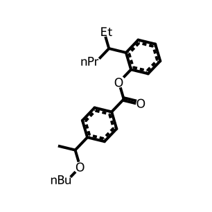 CCCCOC(C)c1ccc(C(=O)Oc2ccccc2C(CC)CCC)cc1